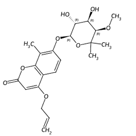 C=CCOc1cc(=O)oc2c(C)c(O[C@@H]3OC(C)(C)[C@H](OC)[C@H](O)[C@H]3O)ccc12